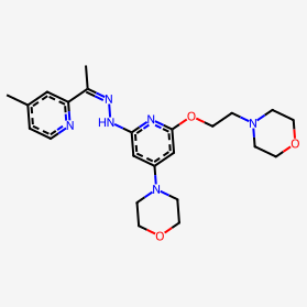 CC(=NNc1cc(N2CCOCC2)cc(OCCN2CCOCC2)n1)c1cc(C)ccn1